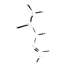 C[PH](C)=NP(Cl)N(Cl)P(Cl)Cl